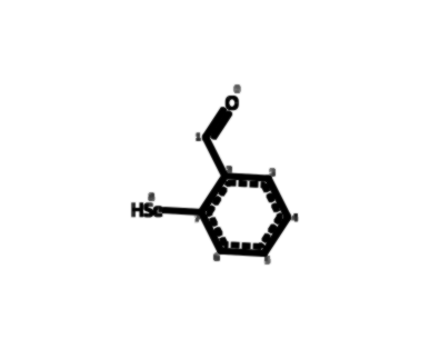 O=Cc1ccccc1[SeH]